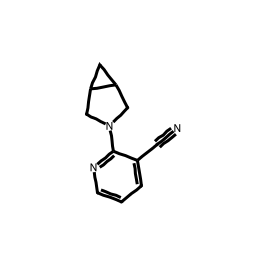 N#Cc1cccnc1N1CC2CC2C1